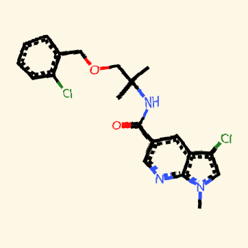 Cn1cc(Cl)c2cc(C(=O)NC(C)(C)COCc3ccccc3Cl)cnc21